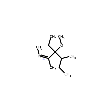 CCC(C)C(CC)(OC)/C(C)=N\C